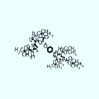 CC(C)(C)OC(=O)NCCN(C(=O)OC(C)(C)C)C1=N[C@@H](c2ccc(OC[C@H](O/N=C(/C(=O)O)c3csc(NC(=O)OC(C)(C)C)n3)C(=O)OC(C)(C)C)cc2)CN1C(=O)OC(C)(C)C